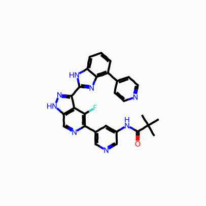 CC(C)(C)C(=O)Nc1cncc(-c2ncc3[nH]nc(-c4nc5c(-c6ccncc6)cccc5[nH]4)c3c2F)c1